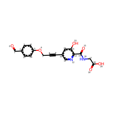 O=Cc1ccc(OCC#Cc2cnc(C(=O)NCC(=O)O)c(O)c2)cc1